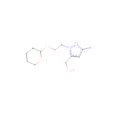 OCc1cc(I)nn1CCOC1CCCCO1